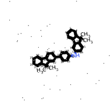 CC1(C)c2ccccc2-c2cc(Nc3ccc(-c4ccc5c(c4)C(C)(C)c4ccccc4-5)cc3)ccc21